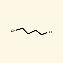 O=NCCCCO